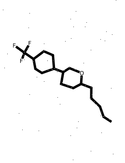 CCCCCC1CCC(C2CCC(C(F)(F)F)CC2)CO1